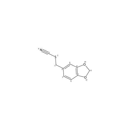 N#CSCc1ccc2c(c1)OCO2